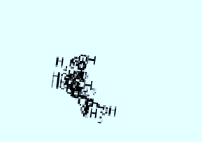 COc1cc(C(=O)OCC2OC(Oc3ccc(C4Oc5c(OC)cc(CCCO)cc5[C@H]4CO)cc3OC)C(O)C(O)C2O)ccc1O